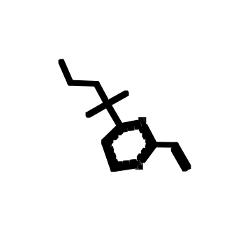 C=Cc1nccc(C(C)(C)CCC)n1